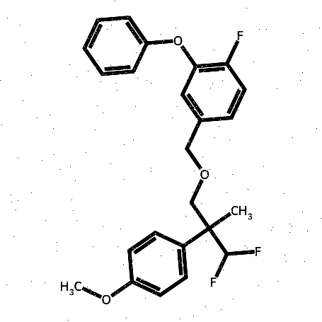 COc1ccc(C(C)(COCc2ccc(F)c(Oc3ccccc3)c2)C(F)F)cc1